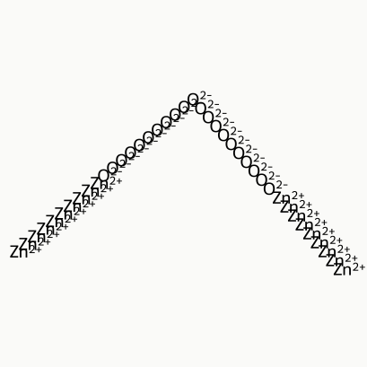 [O-2].[O-2].[O-2].[O-2].[O-2].[O-2].[O-2].[O-2].[O-2].[O-2].[O-2].[O-2].[O-2].[O-2].[O-2].[O-2].[O-2].[O-2].[O-2].[O-2].[O-2].[Zn+2].[Zn+2].[Zn+2].[Zn+2].[Zn+2].[Zn+2].[Zn+2].[Zn+2].[Zn+2].[Zn+2].[Zn+2].[Zn+2].[Zn+2].[Zn+2].[Zn+2].[Zn+2].[Zn+2].[Zn+2].[Zn+2]